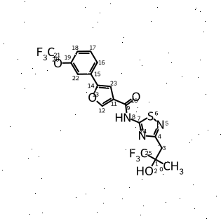 CC(O)(Cc1nsc(NC(=O)c2coc(-c3cccc(OC(F)(F)F)c3)c2)n1)C(F)(F)F